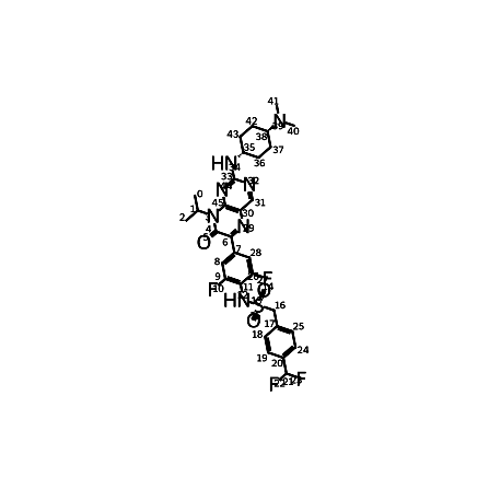 CC(C)n1c(=O)c(-c2cc(F)c(NS(=O)(=O)Cc3ccc(C(F)F)cc3)c(F)c2)nc2cnc(N[C@H]3CC[C@H](N(C)C)CC3)nc21